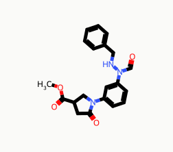 COC(=O)C1CC(=O)N(c2cccc(N(C=O)NCc3ccccc3)c2)C1